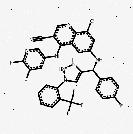 N#Cc1cnc2c(Cl)cc(N[C@H](C3=CN(c4ccccc4C(F)(F)F)NN3)c3ccc(F)cc3)cc2c1Nc1cnc(F)c(F)c1